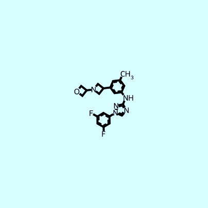 Cc1cc(Nc2ncn(-c3cc(F)cc(F)c3)n2)cc(C2CN(C3COC3)C2)c1